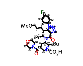 COCCCCc1c(C(=O)N(CC(C)C)[C@H]2C[C@@H](C(=O)N3CCOCC3)CN(C(=O)O)C2C(C)(C)C)nnn1-c1ccc(F)cc1